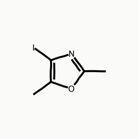 Cc1nc(I)c(C)o1